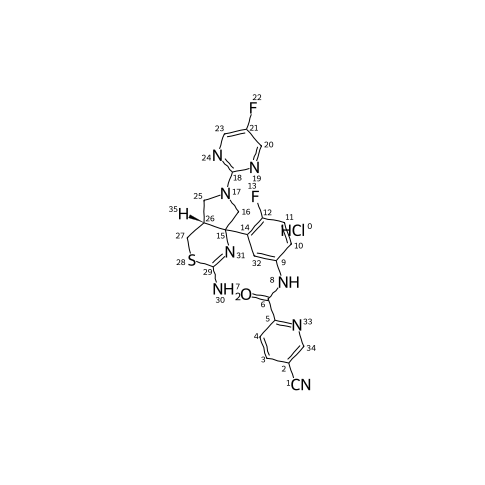 Cl.N#Cc1ccc(C(=O)Nc2ccc(F)c(C34CN(c5ncc(F)cn5)C[C@H]3CSC(N)=N4)c2)nc1